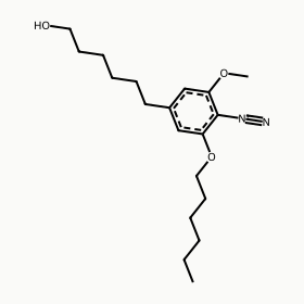 CCCCCCOc1cc(CCCCCCO)cc(OC)c1[N+]#N